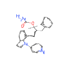 CC(C)(OC(N)=O)C(Cc1ccccc1)Cc1cccc2ccn(-c3ccncc3)c12